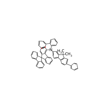 CC1(C)c2cc(-c3ccccc3)ccc2-c2ccc(N(c3ccccc3-c3ccccc3)c3cccc4c3-c3ccccc3C43c4ccccc4-c4ccccc43)cc21